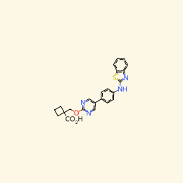 O=C(O)C1(COc2ncc(-c3ccc(Nc4nc5ccccc5s4)cc3)cn2)CCC1